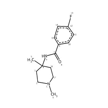 CN1CCC(C)(NC(=O)c2ccc(F)cc2)CC1